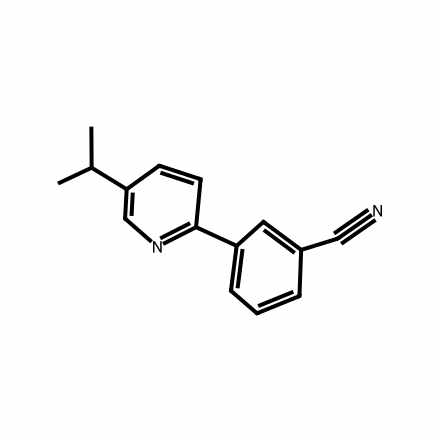 CC(C)c1ccc(-c2cccc(C#N)c2)nc1